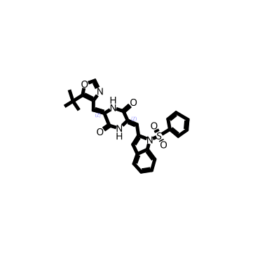 CC(C)(C)c1ocnc1/C=c1\[nH]c(=O)/c(=C/c2cc3ccccc3n2S(=O)(=O)c2ccccc2)[nH]c1=O